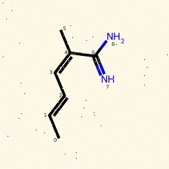 CC=CC=C(C)C(=N)N